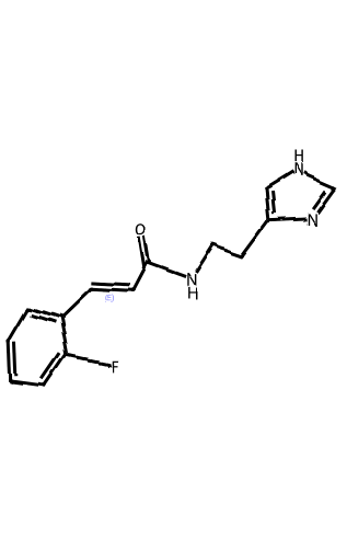 O=C(/C=C/c1ccccc1F)NCCc1c[nH]cn1